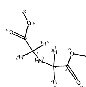 [3H]C([3H])(NC([3H])([3H])C(=O)OC)C(=O)OC